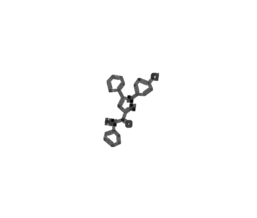 O=C(Nc1ccccc1)c1cc(-c2ccccc2)n(-c2ccc(Cl)cc2)n1